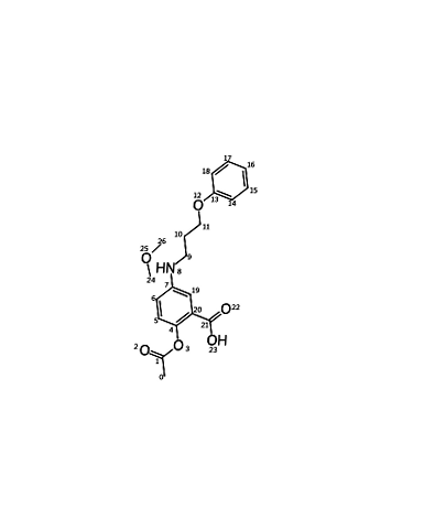 CC(=O)Oc1ccc(NCCCOc2ccccc2)cc1C(=O)O.COC